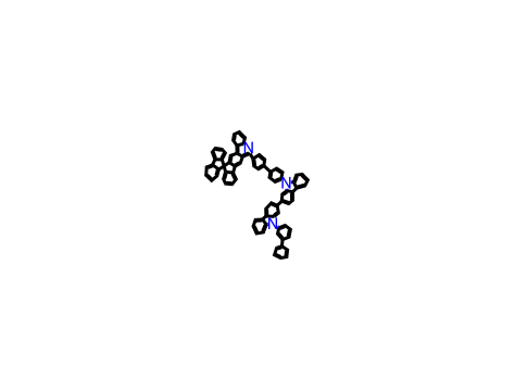 c1ccc(-c2cccc(-n3c4ccccc4c4ccc(-c5ccc6c7ccccc7n(-c7ccc(-c8ccc(-c9nc%10ccccc%10c%10cc%11c(cc9%10)-c9ccccc9C%119c%10ccccc%10-c%10ccccc%109)cc8)cc7)c6c5)cc43)c2)cc1